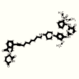 COc1cc(N2CCC(NCCCCCCCC#Cc3cccc4c3CN(C3CCC(=O)NC3=O)C4=O)CC2)ccc1Nc1ncc(Cl)c(Nc2ccccc2P(=O)(OC)OC)n1